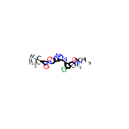 Cc1cc(Cl)cc(-c2ncnn3cc(CN4C(=O)C5C(C4=O)C5(C)C)cc23)c1CC1CN[C@H](C)CO1